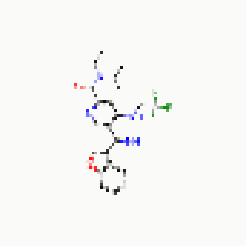 CCN(C(=O)c1cc(NCC(F)(F)F)c(C(=N)c2coc3ccccc23)cn1)C(C)C